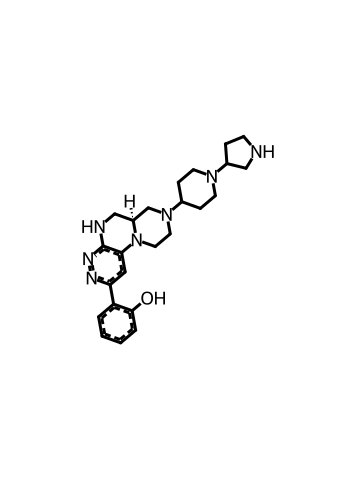 Oc1ccccc1-c1cc2c(nn1)NC[C@H]1CN(C3CCN(C4CCNC4)CC3)CCN21